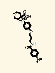 CN(C)c1ccc(C(=O)NCCCOc2ccc(S(=O)(=O)C3(C(=O)O)CCOCC3)cc2)cc1